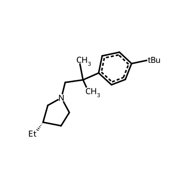 CC[C@H]1CCN(CC(C)(C)c2ccc(C(C)(C)C)cc2)C1